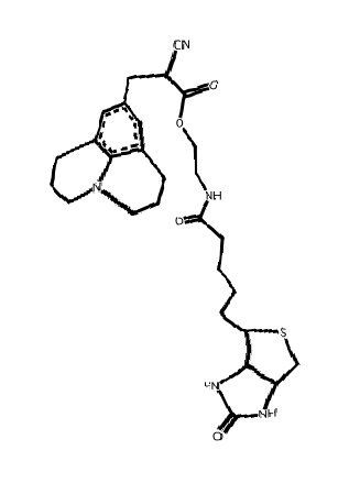 N#CC(Cc1cc2c3c(c1)CCCN3CCC2)C(=O)OCCNC(=O)CCCCC1SCC2NC(=O)NC21